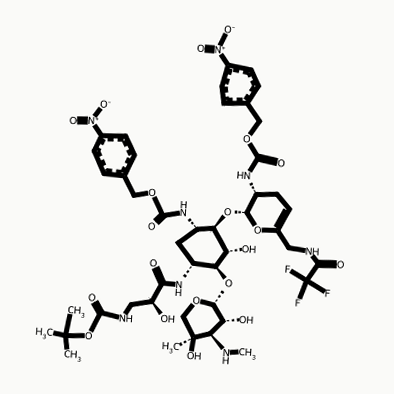 CN[C@@H]1[C@@H](O)[C@@H](O[C@@H]2[C@@H](O)[C@H](O[C@H]3OC(CNC(=O)C(F)(F)F)=CC[C@H]3NC(=O)OCc3ccc([N+](=O)[O-])cc3)[C@@H](NC(=O)OCc3ccc([N+](=O)[O-])cc3)C[C@H]2NC(=O)[C@@H](O)CNC(=O)OC(C)(C)C)OC[C@]1(C)O